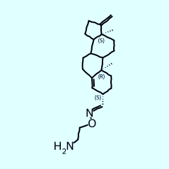 C=C1CCC2C3CCC4=C[C@@H](C=NOCCN)CC[C@]4(C)C3CC[C@]12C